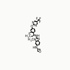 CCC(Nc1nc2ccc(NC3COC3)cc2n1C)c1ccc(Oc2ncc(C(F)(F)F)cn2)cc1F